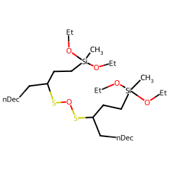 CCCCCCCCCCCC(CC[Si](C)(OCC)OCC)SOSC(CCCCCCCCCCC)CC[Si](C)(OCC)OCC